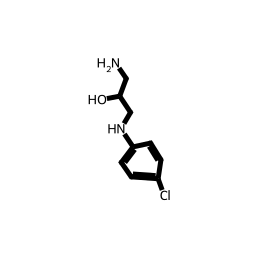 NCC(O)CNc1ccc(Cl)cc1